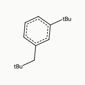 CC(C)(C)Cc1cccc(C(C)(C)C)c1